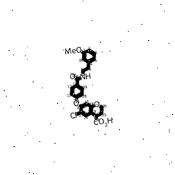 COc1cccc(CCNC(=O)c2ccc(Oc3cc4c(cc3Cl)C(C(=O)O)CCO4)cc2)c1